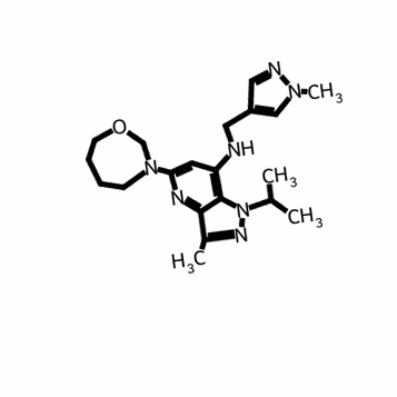 Cc1nn(C(C)C)c2c(NCc3cnn(C)c3)cc(N3CCCCOC3)nc12